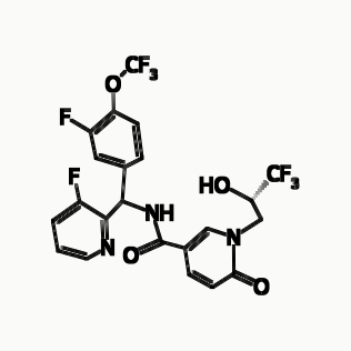 O=C(NC(c1ccc(OC(F)(F)F)c(F)c1)c1ncccc1F)c1ccc(=O)n(C[C@H](O)C(F)(F)F)c1